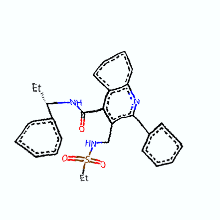 CC[C@H](NC(=O)c1c(CNS(=O)(=O)CC)c(-c2ccccc2)nc2ccccc12)c1ccccc1